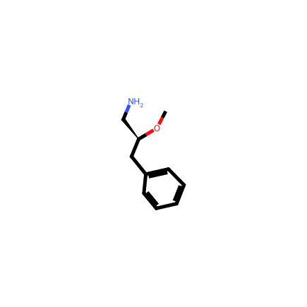 CO[C@H](CN)Cc1ccccc1